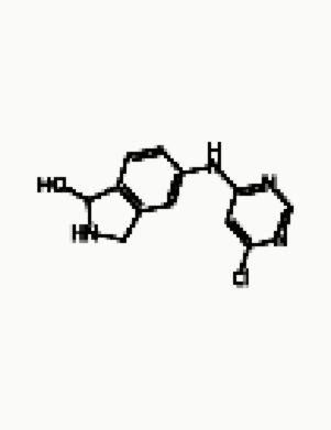 OC1NCc2cc(Nc3cc(Cl)ncn3)ccc21